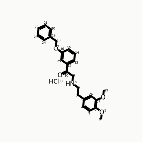 COc1ccc(CCNCC(=O)c2cccc(OCc3ccccc3)c2)cc1OC.Cl